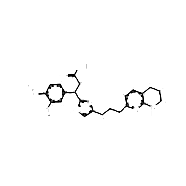 COc1ccc(C(CC(=O)O)c2nc(CCCc3ccc4c(n3)NCCC4)cs2)cc1OC